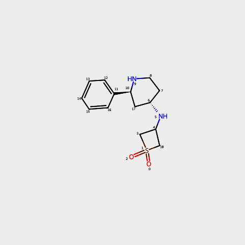 O=S1(=O)CC(N[C@H]2CCN[C@H](c3ccccc3)C2)C1